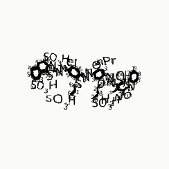 CCCOc1cc(N=Nc2c(C)c(C(N)=O)c3nc4ccccc4n3c2O)c(OCCCS(=O)(=O)O)cc1N=Nc1cc(Cl)c(N=Nc2nc3c(S(=O)(=O)O)cc4ccc(S(=O)(=O)O)cc4c3s2)cc1SCCCS(=O)(=O)O